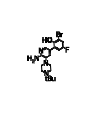 CC(C)(C)N1CCN(c2cc(-c3cc(F)cc(Br)c3O)cnc2N)CC1